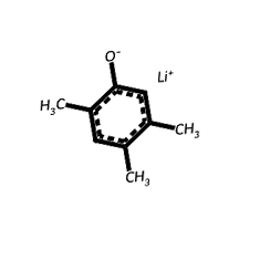 Cc1cc(C)c([O-])cc1C.[Li+]